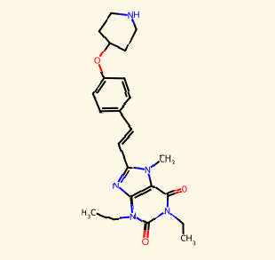 CCn1c(=O)c2c(nc(C=Cc3ccc(OC4CCNCC4)cc3)n2C)n(CC)c1=O